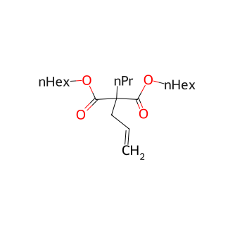 C=CCC(CCC)(C(=O)OCCCCCC)C(=O)OCCCCCC